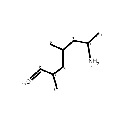 CC(N)CC(C)CC(C)C=O